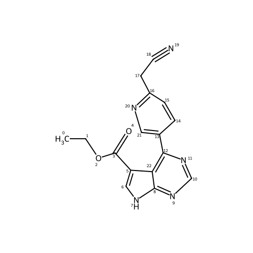 CCOC(=O)c1c[nH]c2ncnc(-c3ccc(CC#N)nc3)c12